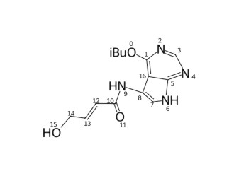 CC(C)COc1ncnc2[nH]cc(NC(=O)C=CCO)c12